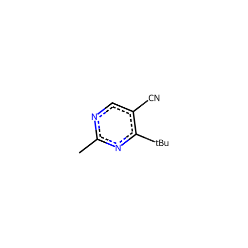 Cc1ncc(C#N)c(C(C)(C)C)n1